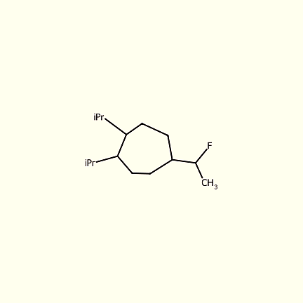 CC(C)C1CCC(C(C)F)CCC1C(C)C